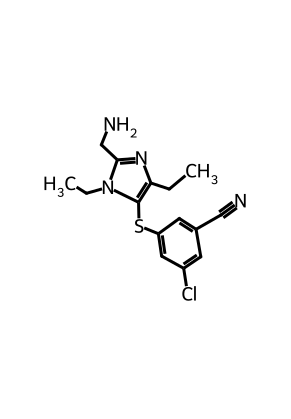 CCc1nc(CN)n(CC)c1Sc1cc(Cl)cc(C#N)c1